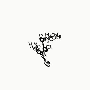 CC(C)(O)CNCc1cc(C#Cc2cc(-c3nn(CCCN4CCSCC4)c4c3CN(C(=O)C(N)=O)CC4)ccc2Cl)ccc1Cl